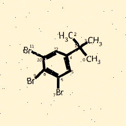 CC(C)(C)c1cc(Br)c(Br)c(Br)c1